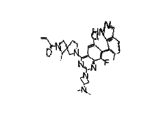 C=CC(=O)N1CC2(CCN(c3nc(N4CC(N(C)C)C4)nc4c(F)c(-c5c(C)ccc6cn[nH]c56)c(Cl)cc34)C2)C1C